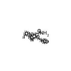 NC(=O)C=Cc1cc2c(Nc3cccc(I)c3)ncnc2cc1OCCCN1CCOCC1